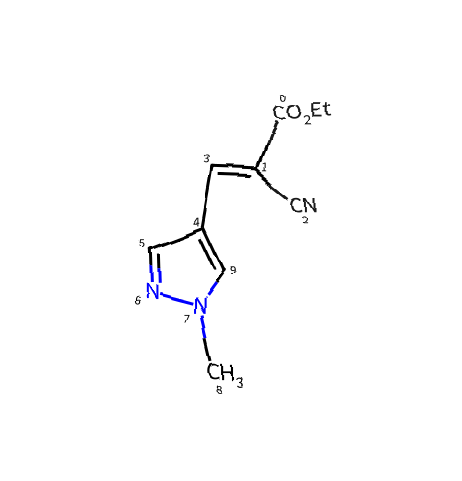 CCOC(=O)C(C#N)=Cc1cnn(C)c1